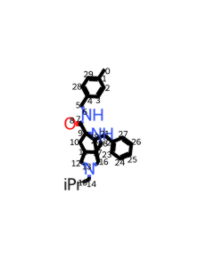 Cc1ccc(CNC(=O)C23CC4CN(CC(C)C)C(C4CN2)C3Cc2ccccc2)cc1